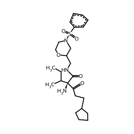 CCC(C)[C@@](N)(C(=O)CCC1CCCC1)C(=O)NCC1CN(S(=O)(=O)c2ccccc2)CCO1